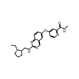 CCN1CCCC1CNc1ncc2cc(Oc3ccnc(C(=O)NC)c3)ccc2n1